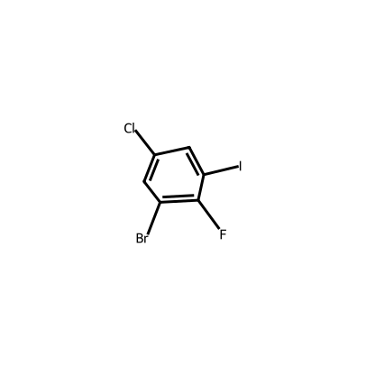 Fc1c(Br)cc(Cl)cc1I